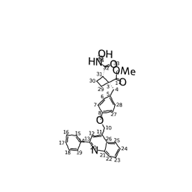 COC(=O)[C@@]1(Cc2ccc(OCc3cc(-c4ccccc4)nc4ccccc34)cc2)CC[C@@H]1C(=O)NO